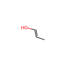 CC=CO